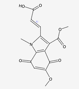 COC(=O)c1c2c(n(C)c1/C=C/C(=O)O)C(=O)C=C(OC)C2=O